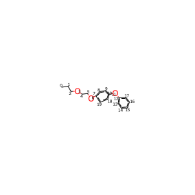 CCCOCCOc1ccc(Oc2ccccc2)cc1